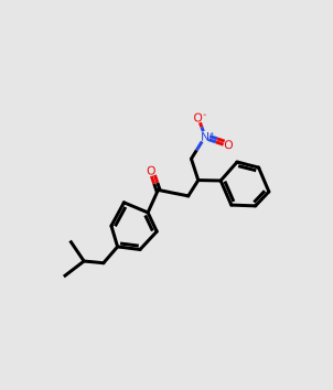 CC(C)Cc1ccc(C(=O)CC(C[N+](=O)[O-])c2ccccc2)cc1